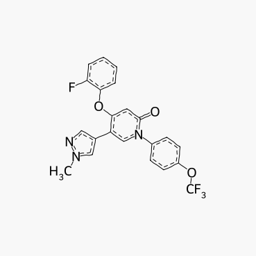 Cn1cc(-c2cn(-c3ccc(OC(F)(F)F)cc3)c(=O)cc2Oc2ccccc2F)cn1